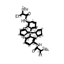 CCCCC(CC)C(=O)Nc1ccc(F)[c]([Ti]([c]2c(F)ccc(NC(=O)C(CC)CCCC)c2F)([CH]2C=CC=C2)[CH]2C=CC=C2)c1F